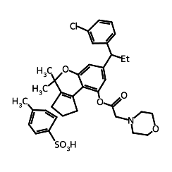 CCC(c1cccc(Cl)c1)c1cc(OC(=O)CN2CCOCC2)c2c(c1)OC(C)(C)C1=C2CCC1.Cc1ccc(S(=O)(=O)O)cc1